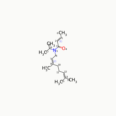 C/C=C/C(=O)N(C/C=C(/C)CCC=C(C)C)C(C)C